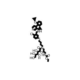 CCOC(=O)NCCCN(CCCCSc1ccc(Cl)c(CNC2(c3cnccc3-c3ccccc3OC3CC3)CC2)c1)C(=O)C(O)C(O)C(O)C(O)CO